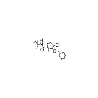 C/N=C(\C)NC(=O)c1ccc(Cl)c(OCc2ccccc2)c1C